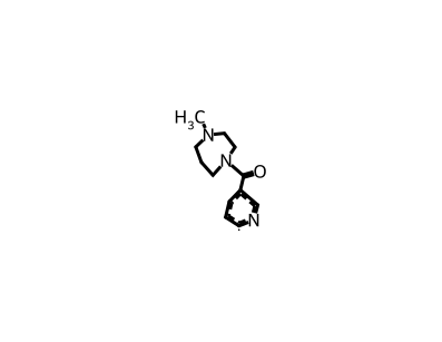 CN1CCCN(C(=O)c2cc[c]nc2)CC1